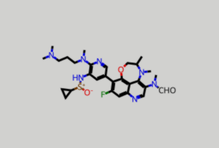 CC1COc2c(-c3cnc(N(C)CCCN(C)C)c(N[S+]([O-])C4CC4)c3)c(F)cc3ncc(N(C)C=O)c(c23)N1C